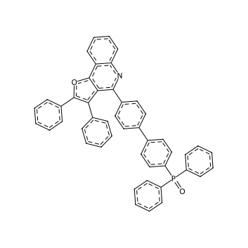 O=P(c1ccccc1)(c1ccccc1)c1ccc(-c2ccc(-c3nc4ccccc4c4oc(-c5ccccc5)c(-c5ccccc5)c34)cc2)cc1